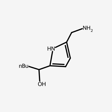 CCCCC(O)c1ccc(CN)[nH]1